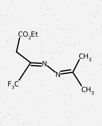 CCOC(=O)C/C(=N/N=C(C)C)C(F)(F)F